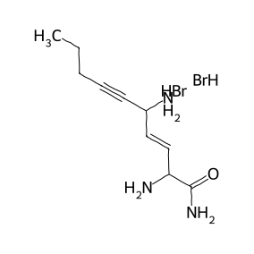 Br.Br.CCCC#CC(N)C=CC(N)C(N)=O